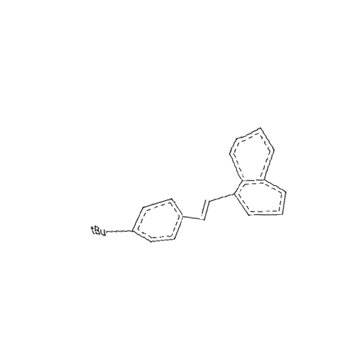 CC(C)(C)c1ccc(C=Cc2cccc3ccccc23)cc1